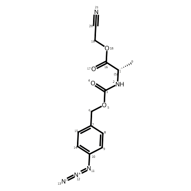 C[C@H](NC(=O)OCc1ccc(N=[N+]=[N-])cc1)C(=O)OCC#N